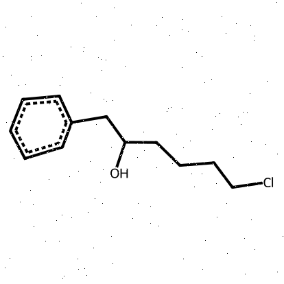 OC(CCCCCl)Cc1ccccc1